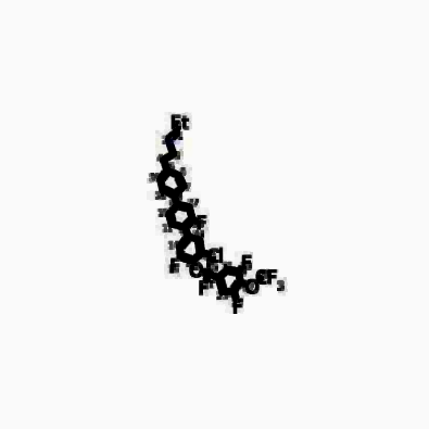 CC/C=C/CCc1ccc(-c2ccc(-c3cc(F)c(OC(F)(F)c4cc(F)c(OC(F)(F)F)c(F)c4)c(Cl)c3)c(F)c2)cc1